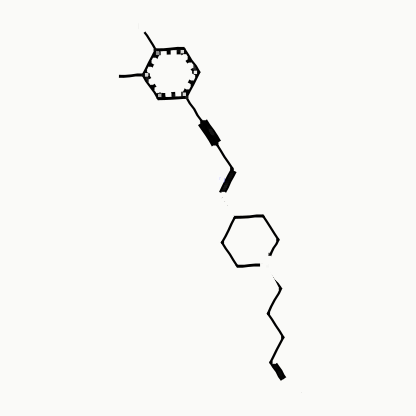 C=CCCC[Si@H]1CC[C@H](/C=C/C#Cc2ccc(F)c(F)c2)CC1